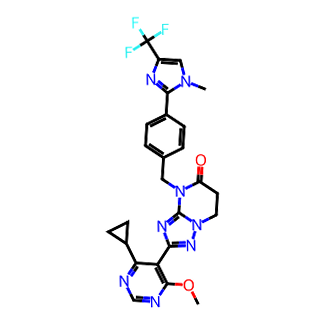 COc1ncnc(C2CC2)c1-c1nc2n(n1)CCC(=O)N2Cc1ccc(-c2nc(C(F)(F)F)cn2C)cc1